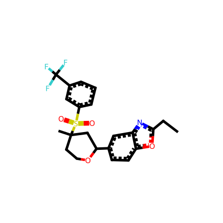 CCc1nc2cc(C3CC(C)(S(=O)(=O)c4cccc(C(F)(F)F)c4)CCO3)ccc2o1